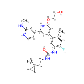 CNc1cc(-c2cc(-c3cc(NC(=O)NCCC4(C)CC4)c(F)cc3C)cc(OCCO)n2)ccn1